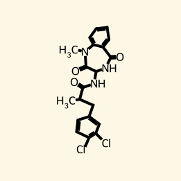 CC(Cc1ccc(Cl)c(Cl)c1)C(=O)NC1NC(=O)c2ccccc2N(C)C1=O